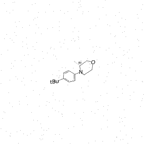 C[C@@H]1COCCN1c1ccc(C(C)(C)C)cc1